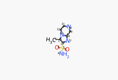 Cc1c(S(N)(=O)=O)nc2cnccn12